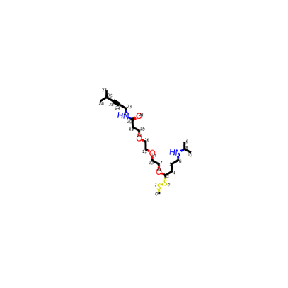 CSSC(CCCNC(C)C)OCCOCCOCCC(=O)NCC#CC(C)C